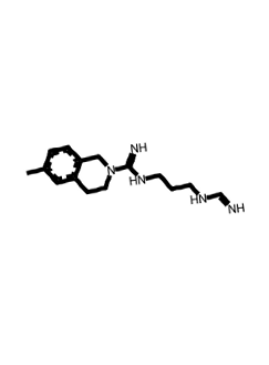 Cc1ccc2c(c1)CCN(C(=N)NCCCNC=N)C2